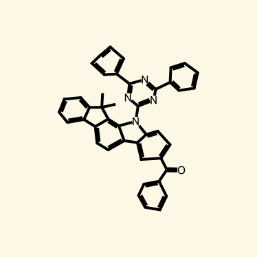 CC1(C)c2ccccc2-c2ccc3c4cc(C(=O)c5ccccc5)ccc4n(-c4nc(-c5ccccc5)nc(-c5ccccc5)n4)c3c21